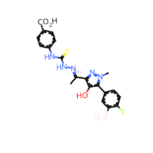 Bc1cc(-c2c(O)c(/C(C)=N/NC(=S)Nc3ccc(C(=O)O)cc3)nn2C)ccc1F